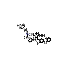 C[C@@H]1CN(C(C)(C)S/C=C(\C#N)C(=O)N2CCC[C@@H](n3nc(-c4ccc(Oc5ccccc5)cc4F)c4c(N)ncnc43)C2)C[C@H](C)N1